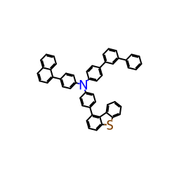 c1ccc(-c2cccc(-c3ccc(N(c4ccc(-c5cccc6ccccc56)cc4)c4ccc(-c5cccc6sc7ccccc7c56)cc4)cc3)c2)cc1